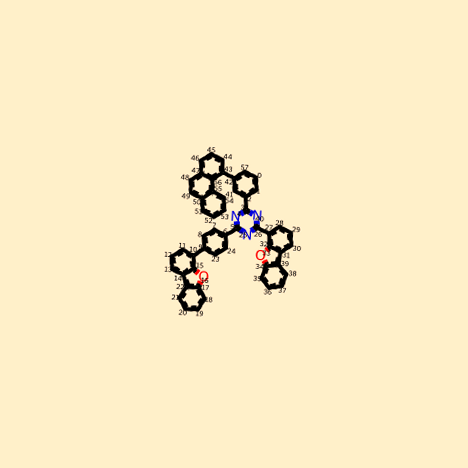 c1cc(-c2nc(-c3ccc(-c4cccc5c4oc4ccccc45)cc3)nc(-c3cccc4c3oc3ccccc34)n2)cc(-c2cccc3ccc4ccccc4c23)c1